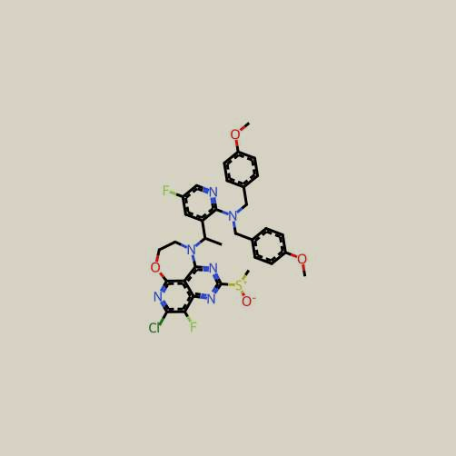 COc1ccc(CN(Cc2ccc(OC)cc2)c2ncc(F)cc2C(C)N2CCOc3nc(Cl)c(F)c4nc([S+](C)[O-])nc2c34)cc1